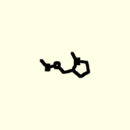 CSOCC1CCCN1C